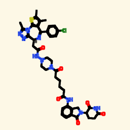 Cc1sc2c(c1C)C(c1ccc(Cl)cc1)=N[C@@H](CC(=O)NN1CCN(C(=O)CCCCC(=O)Nc3cccc4c3CN(C3CCC(=O)NC3=O)C4=O)CC1)c1nnc(C)n1-2